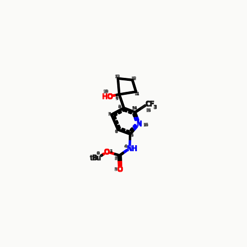 CC(C)(C)OC(=O)Nc1ccc(C2(O)CCC2)c(C(F)(F)F)n1